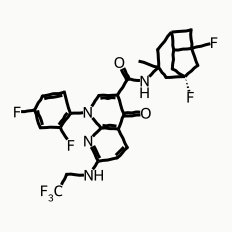 CC1(NC(=O)c2cn(-c3ccc(F)cc3F)c3nc(NCC(F)(F)F)ccc3c2=O)CC2CC3(F)C[C@](F)(CC23)C1